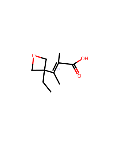 CCC1(/C(C)=C(\C)C(=O)O)COC1